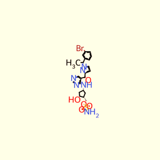 CC(c1cccc(Br)c1)n1ccc(C(=O)c2cncnc2N[C@@H]2C[C@H](COS(N)(=O)=O)[C@@H](O)C2)n1